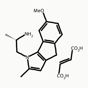 COc1ccc2c(c1)-c1c(cc(C)n1C[C@H](C)N)C2.O=C(O)/C=C/C(=O)O